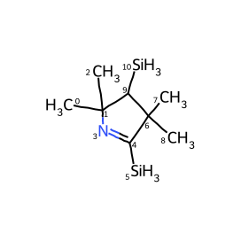 CC1(C)N=C([SiH3])C(C)(C)C1[SiH3]